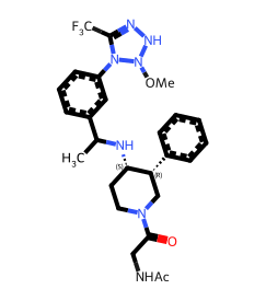 CON1NN=C(C(F)(F)F)N1c1cccc(C(C)N[C@H]2CCN(C(=O)CNC(C)=O)C[C@H]2c2ccccc2)c1